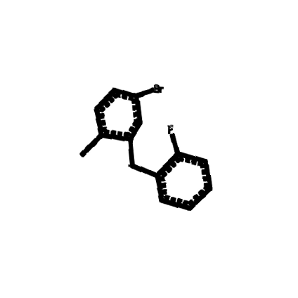 Cc1ccc(Br)cc1[CH]c1ccccc1F